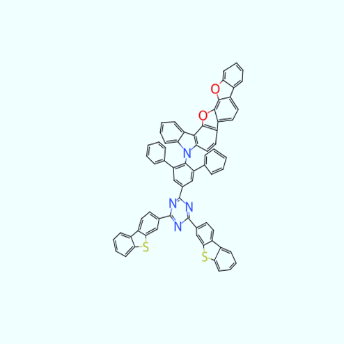 c1ccc(-c2cc(-c3nc(-c4ccc5c(c4)sc4ccccc45)nc(-c4ccc5c(c4)sc4ccccc45)n3)cc(-c3ccccc3)c2-n2c3ccccc3c3c4oc5c(ccc6c7ccccc7oc65)c4ccc32)cc1